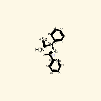 C/C(=N\N(C(N)=[Se])c1ccccc1)c1ccccn1